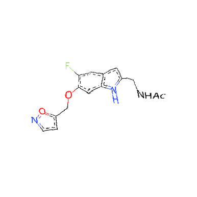 CC(=O)NCc1cc2cc(F)c(OCc3ccno3)cc2[nH]1